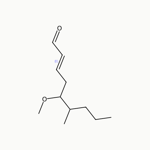 CCCC(C)C(C/C=C/C=O)OC